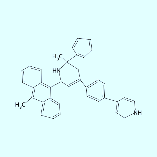 Cc1c2ccccc2c(C2C=C(c3ccc(C4=CCNC=C4)cc3)CC(C)(c3ccccc3)N2)c2ccccc12